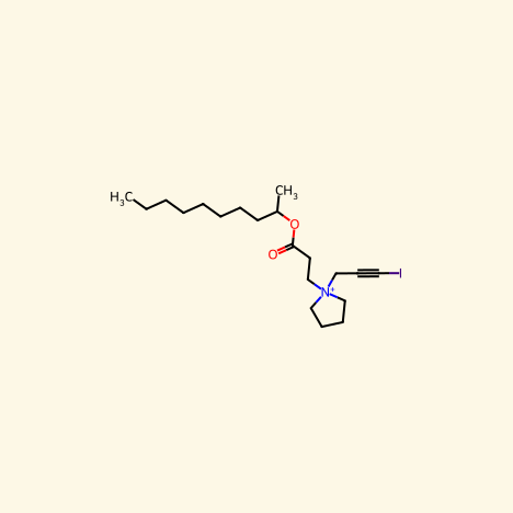 CCCCCCCCC(C)OC(=O)CC[N+]1(CC#CI)CCCC1